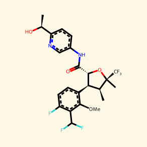 COc1c([C@H]2[C@H](C(=O)Nc3ccc([C@H](C)O)nc3)O[C@@](C)(C(F)(F)F)[C@H]2C)ccc(F)c1C(F)F